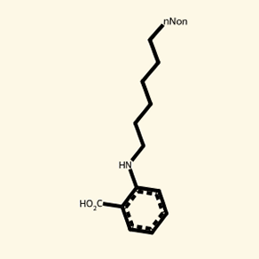 CCCCCCCCCCCCCCCNc1ccccc1C(=O)O